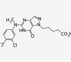 CN(c1ccc(Cl)c(Cl)c1)c1nc2cnn(CCCCC(=O)O)c2c(=O)[nH]1